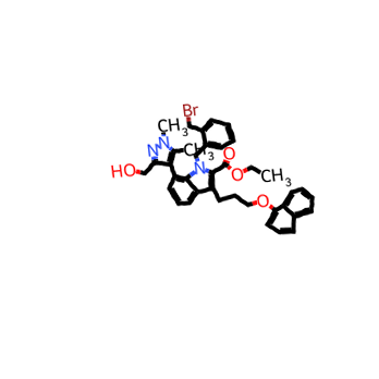 CCOC(=O)c1c(CCCOc2cccc3ccccc23)c2cccc(-c3c(CO)nn(C)c3C)c2n1Cc1ccccc1CBr